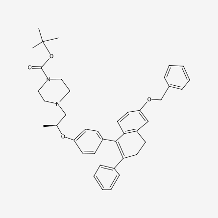 C[C@@H](CN1CCN(C(=O)OC(C)(C)C)CC1)Oc1ccc(C2=C(c3ccccc3)CCc3cc(OCc4ccccc4)ccc32)cc1